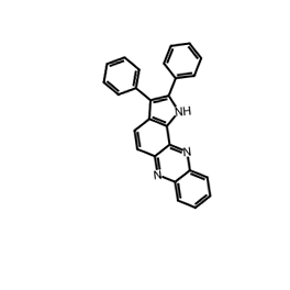 c1ccc(-c2[nH]c3c(ccc4nc5ccccc5nc43)c2-c2ccccc2)cc1